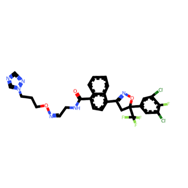 O=C(NC/C=N\OCCCn1cncn1)c1ccc(C2=NOC(c3cc(Cl)c(F)c(Cl)c3)(C(F)(F)F)C2)c2ccccc12